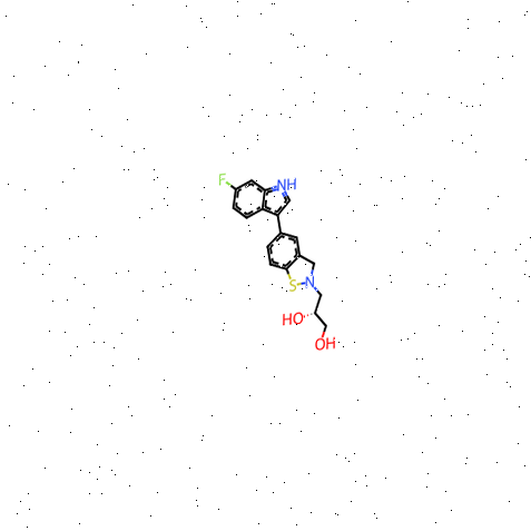 OC[C@H](O)CN1Cc2cc(-c3c[nH]c4cc(F)ccc34)ccc2S1